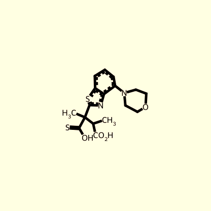 CC(C(=O)O)C(C)(C(O)=S)c1nc2c(N3CCOCC3)cccc2s1